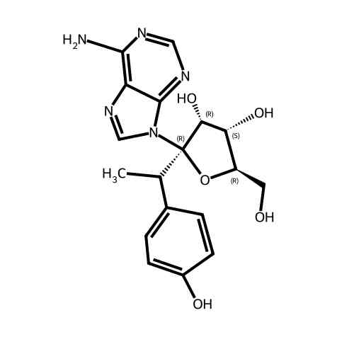 CC(c1ccc(O)cc1)[C@@]1(n2cnc3c(N)ncnc32)O[C@H](CO)[C@@H](O)[C@H]1O